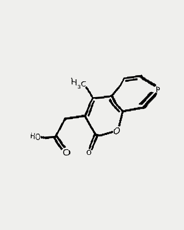 Cc1c(CC(=O)O)c(=O)oc2cpccc12